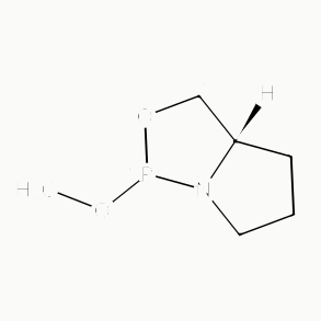 COP1OC[C@@H]2CCCN21